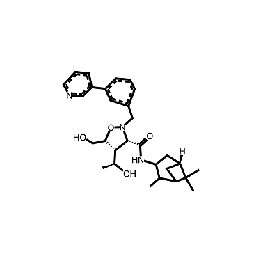 CC1C(NC(=O)[C@@H]2[C@H]([C@H](C)O)C(CO)ON2Cc2cccc(-c3cccnc3)c2)C[C@H]2CC1C2(C)C